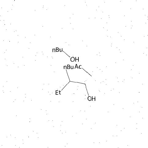 CC(C)=O.CCCCC(CC)CO.CCCCO